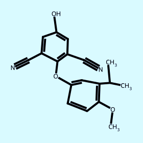 COc1ccc(Oc2c(C#N)cc(O)cc2C#N)cc1C(C)C